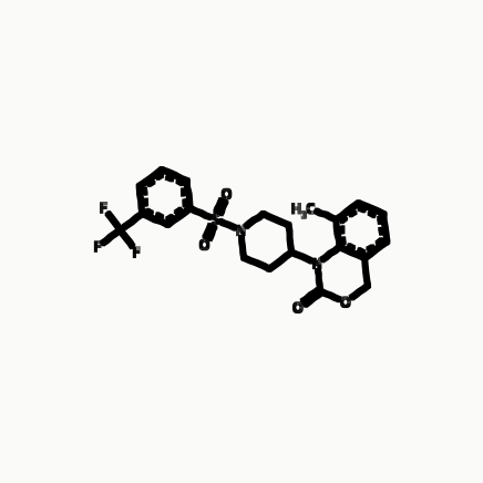 Cc1cccc2c1N(C1CCN(S(=O)(=O)c3cccc(C(F)(F)F)c3)CC1)C(=O)OC2